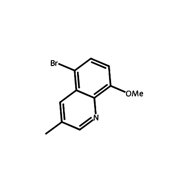 COc1ccc(Br)c2cc(C)cnc12